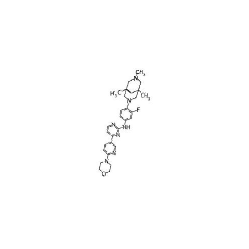 CN1CC2(C)CN(c3ccc(Nc4nccc(-c5ccc(N6CCOCC6)nc5)n4)cc3F)CC(C)(C1)C2